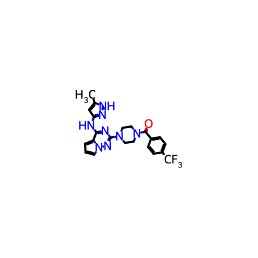 Cc1cc(Nc2nc(N3CCN(C(=O)c4ccc(C(F)(F)F)cc4)CC3)nn3cccc23)n[nH]1